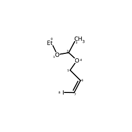 CCOC(C)OC/C=C\I